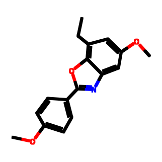 CCc1cc(OC)cc2nc(-c3ccc(OC)cc3)oc12